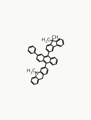 CN1c2ccccc2Cc2ccc(-c3c4ccccc4c(-c4ccc5c(c4)-c4ccccc4C5(C)C)c4cc(-c5ccccc5)ccc34)cc21